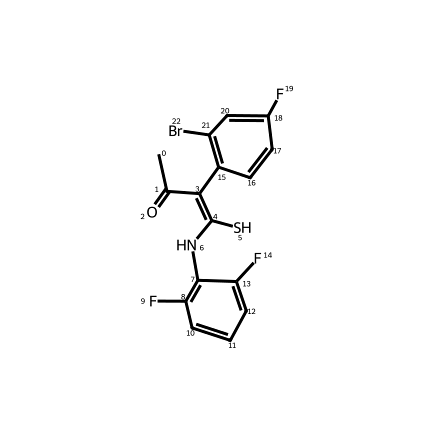 CC(=O)/C(=C(/S)Nc1c(F)cccc1F)c1ccc(F)cc1Br